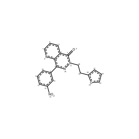 O=c1c2cccnc2c(-c2cccc([N+](=O)[O-])c2)nn1CCc1ccco1